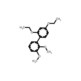 CCOc1ccc(-c2cc[c]c(OC)c2OC)c(OCC)c1